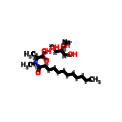 CCCCCCCCCCCC(=O)N(C)[C@@H](C)C(=O)O.OCC(O)CO.[Na]